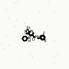 CCn1ncc2c(NC3CCCCC3)c(C(=O)NCc3cc(F)cc(F)c3)cnc21